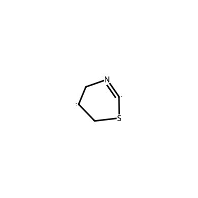 [C]1CN=[C]SC1